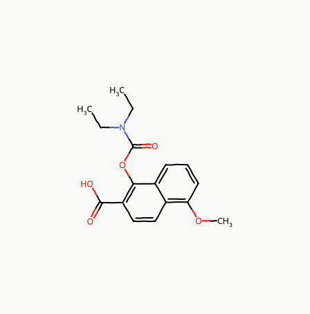 CCN(CC)C(=O)Oc1c(C(=O)O)ccc2c(OC)cccc12